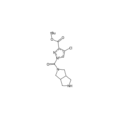 CC(C)(C)OC(=O)c1nn(C(=O)N2CC3CNCC3C2)cc1Cl